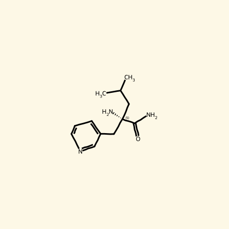 CC(C)C[C@](N)(Cc1cccnc1)C(N)=O